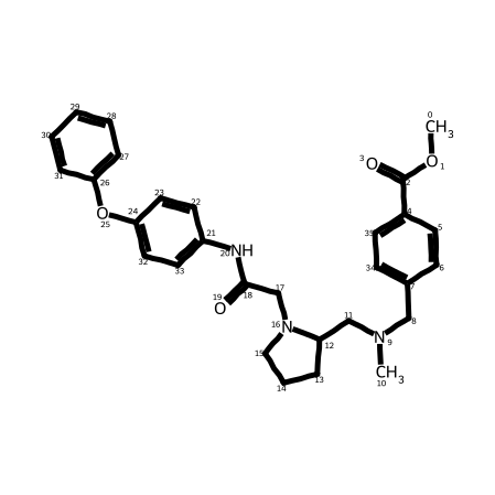 COC(=O)c1ccc(CN(C)CC2CCCN2CC(=O)Nc2ccc(Oc3ccccc3)cc2)cc1